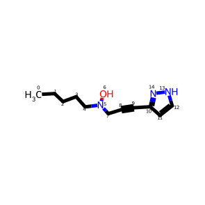 CCCCCN(O)CC#Cc1cc[nH]n1